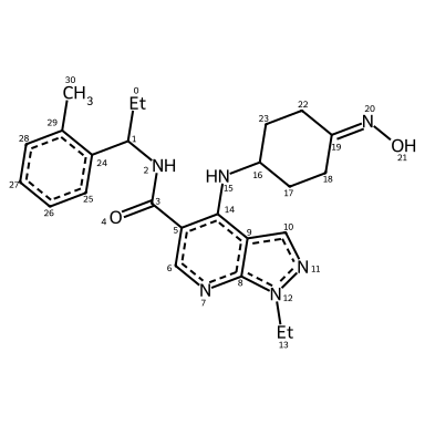 CCC(NC(=O)c1cnc2c(cnn2CC)c1NC1CCC(=NO)CC1)c1ccccc1C